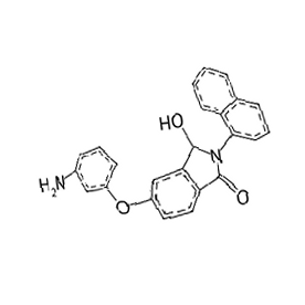 Nc1cccc(Oc2ccc3c(c2)C(O)N(c2cccc4ccccc24)C3=O)c1